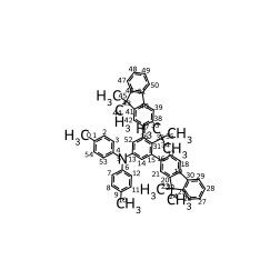 Cc1ccc(N(c2ccc(C)cc2)c2cc(-c3ccc4c(c3)C(C)(C)c3ccccc3-4)c(C(C)(C)C)c(-c3ccc4c(c3)C(C)(C)c3ccccc3-4)c2)cc1